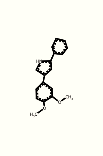 COc1ccc(-c2c[nH]c(-c3ccccc3)c2)cc1OC